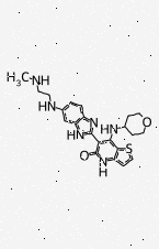 CNCCNc1ccc2nc(-c3c(NC4CCOCC4)c4sccc4[nH]c3=O)[nH]c2c1